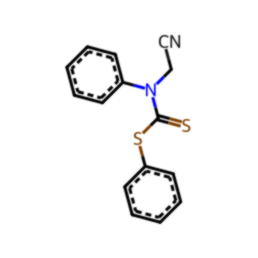 N#CCN(C(=S)Sc1ccccc1)c1ccccc1